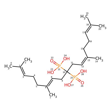 CC(C)=CCCC(C)=CCC(CC=C(C)CCC=C(C)C)(P(=O)(O)O)P(=O)(O)O